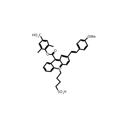 COc1ccc(C=Cc2ccc3c(c2)c(C(=O)Oc2c(C)cc(C(=O)O)cc2C)c2ccccc2[n+]3CCCCS(=O)(=O)O)cc1